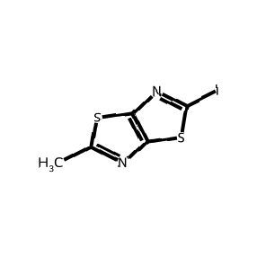 Cc1nc2sc(I)nc2s1